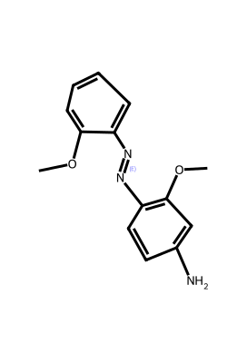 COc1ccccc1/N=N/c1ccc(N)cc1OC